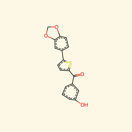 O=C(c1cccc(O)c1)c1ccc(-c2ccc3c(c2)OCO3)s1